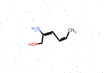 C/C=C\C=C(\N)CO